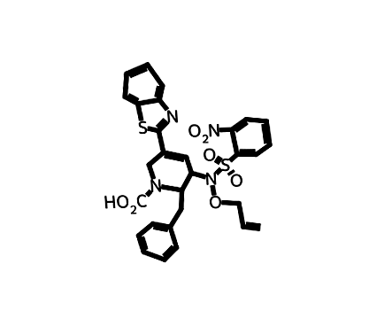 C=CCON(C1C=C(c2nc3ccccc3s2)CN(C(=O)O)C1Cc1ccccc1)S(=O)(=O)c1ccccc1[N+](=O)[O-]